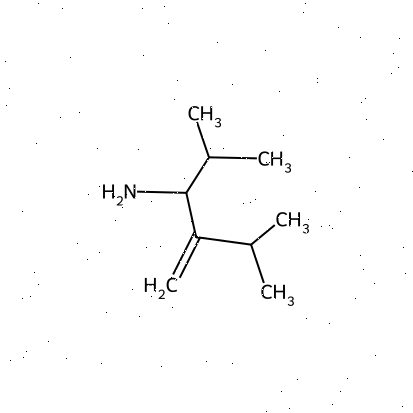 C=C(C(C)C)C(N)C(C)C